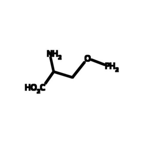 NC(COP)C(=O)O